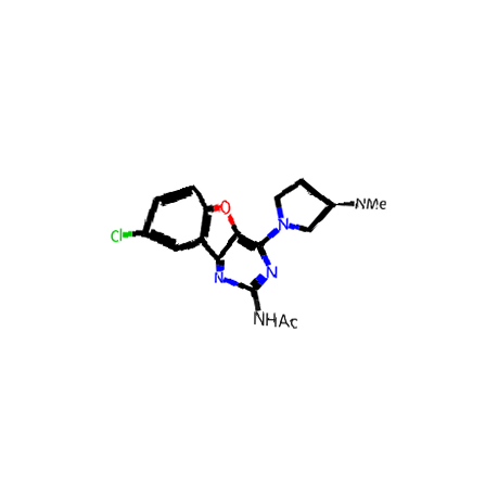 CN[C@@H]1CCN(c2nc(NC(C)=O)nc3c2oc2ccc(Cl)cc23)C1